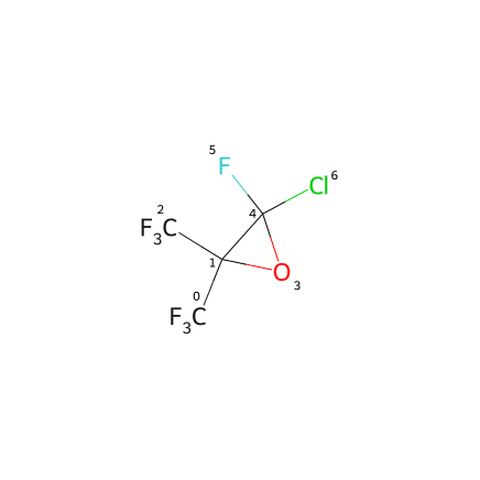 FC(F)(F)C1(C(F)(F)F)OC1(F)Cl